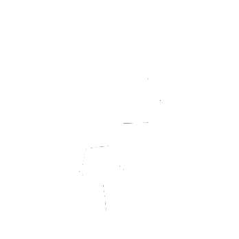 CCCC/C=C\CC1CN=C(C(C)C)N1